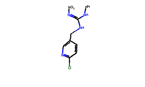 CCCNC(=N[N+](=O)[O-])NCc1ccc(Cl)nc1